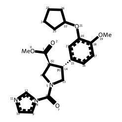 COC(=O)[C@@H]1CN(C(=O)n2ccnc2)C[C@H]1c1ccc(OC)c(OC2CCCC2)c1